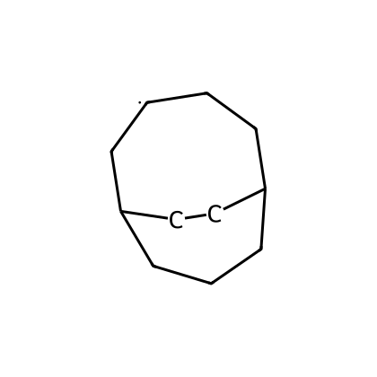 [CH]1CCC2CCCC(C1)CC2